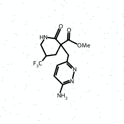 COC(=O)C1(Cc2ccc(N)nn2)CC(C(F)(F)F)CNC1=O